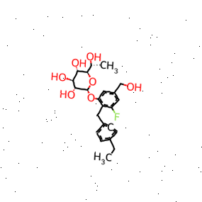 CCc1ccc(Cc2c(F)cc(CO)cc2O[C@@H]2O[C@H]([C@@H](C)O)[C@@H](O)[C@H](O)[C@H]2O)cc1